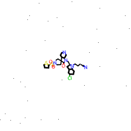 N#CCCCn1c(CN2C(=O)C3(CCN(S(=O)(=O)c4cccs4)CC3)c3ccncc32)cc2cc(Cl)ccc21